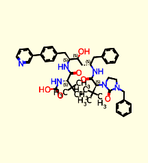 CC(C)(C)[C@H](NC(=O)O)C(=O)N[C@@H](Cc1ccc(-c2cccnc2)cc1)[C@@H](O)C[C@H](Cc1ccccc1)NC(=O)[C@@H](N1CCN(Cc2ccccc2)C1=O)C(C)(C)C